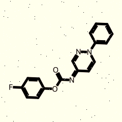 O=C(N=c1ccn(-c2ccccc2)nc1)Oc1ccc(F)cc1